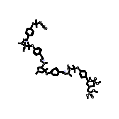 CCCC(C)(Oc1ccc(/C=N/N(C)[PH](=S)C(C)(C)Oc2ccc(CCN(CP(=O)(OC)OC)CP(=O)(OC)OC)cc2)cc1)[PH](=S)N(C)/N=C/c1ccc(OC(C)(C)[PH](=S)N(C)/N=C/c2ccc(OC(C)(C)N=[N+]=[N-])cc2)cc1